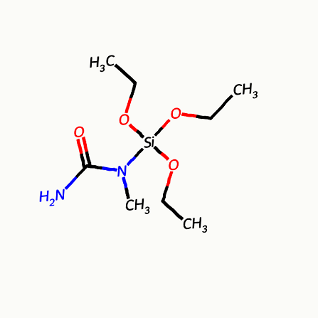 CCO[Si](OCC)(OCC)N(C)C(N)=O